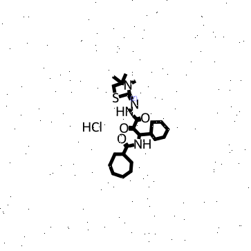 CN1/C(=N/NC(=O)C(=O)C(NC(=O)C2CCCCCC2)C2CCCCC2)SCC1(C)C.Cl